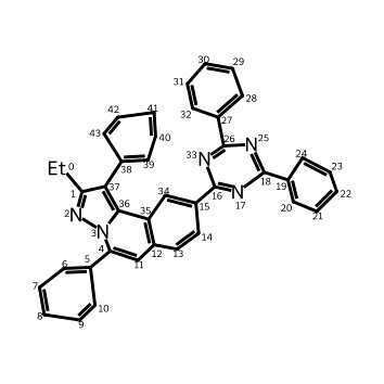 CCc1nn2c(-c3ccccc3)cc3ccc(-c4nc(-c5ccccc5)nc(-c5ccccc5)n4)cc3c2c1-c1ccccc1